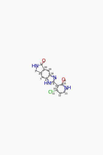 O=C1NCc2cc3[nH]c(-c4c(Cl)cc[nH]c4=O)nc3cc21